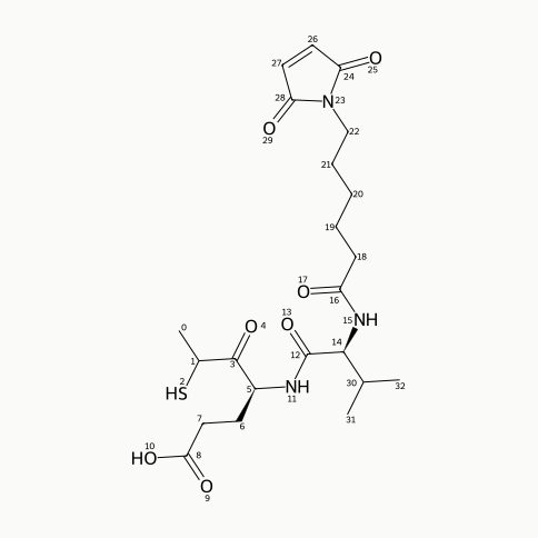 CC(S)C(=O)[C@H](CCC(=O)O)NC(=O)[C@@H](NC(=O)CCCCCN1C(=O)C=CC1=O)C(C)C